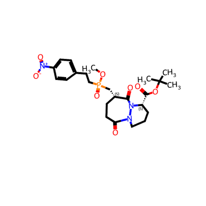 COP(=O)(CCc1ccc([N+](=O)[O-])cc1)C[C@H]1CCC(=O)N2CCC[C@@H](C(=O)OC(C)(C)C)N2C1=O